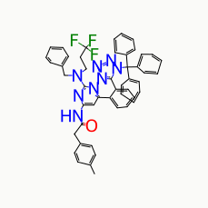 Cc1ccc(CC(=O)Nc2cc(-c3ccccc3-c3nnnn3C(c3ccccc3)(c3ccccc3)c3ccccc3)nc(N(CCC(F)(F)F)Cc3ccccc3)n2)cc1